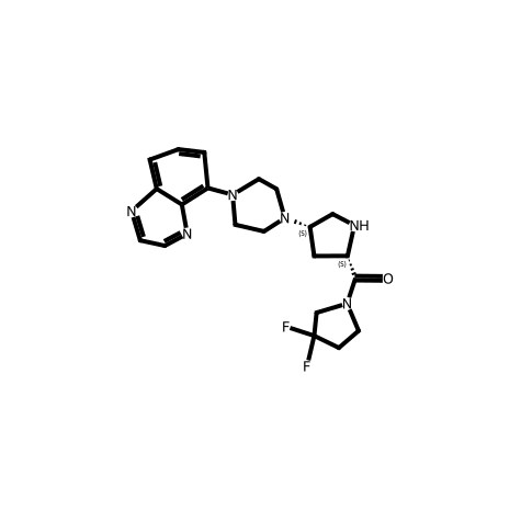 O=C([C@@H]1C[C@H](N2CCN(c3cccc4nccnc34)CC2)CN1)N1CCC(F)(F)C1